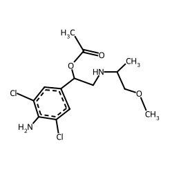 COCC(C)NCC(OC(C)=O)c1cc(Cl)c(N)c(Cl)c1